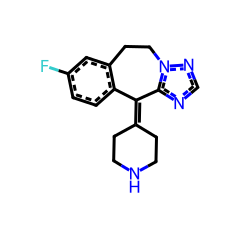 Fc1ccc2c(c1)CCn1ncnc1C2=C1CCNCC1